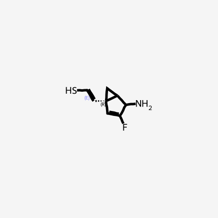 NC1C(F)=C[C@@]2(/C=C/S)CC12